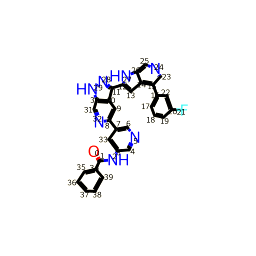 O=C(Nc1cncc(-c2cc3c(-c4cc5c(-c6cccc(F)c6)cncc5[nH]4)n[nH]c3cn2)c1)c1ccccc1